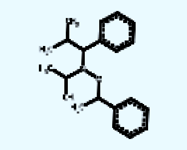 CC(ON(C(C)C)C(c1ccccc1)C(C)C)c1ccccc1